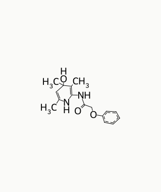 CC1=CC(C)(O)C(C)=C(NC(=O)COc2ccccc2)N1